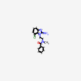 CN(CCn1c(N)nc2cccc(Cl)c21)C(=O)c1ccccc1